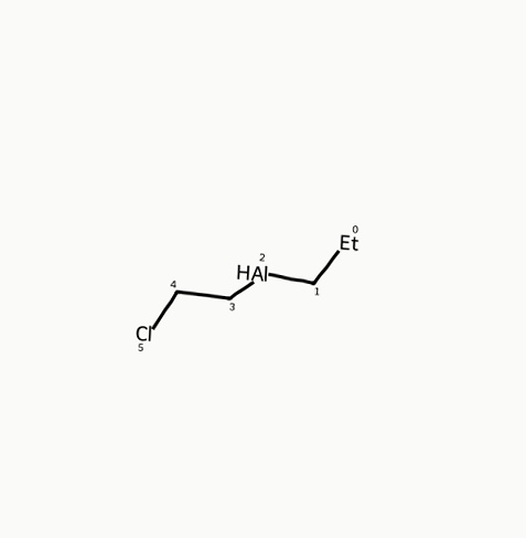 CC[CH2][AlH][CH2]CCl